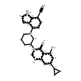 N#Cc1ccc(N2CCCC(n3cnc4cc(C5CC5)cc(F)c4c3=O)C2)c2cc[nH]c12